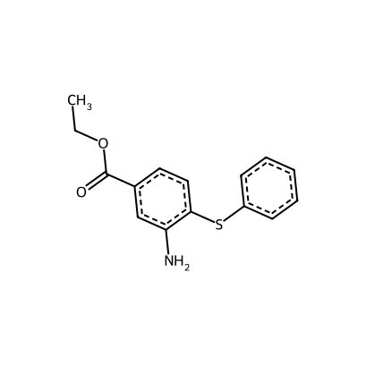 CCOC(=O)c1ccc(Sc2ccccc2)c(N)c1